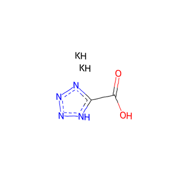 O=C(O)c1nnn[nH]1.[KH].[KH]